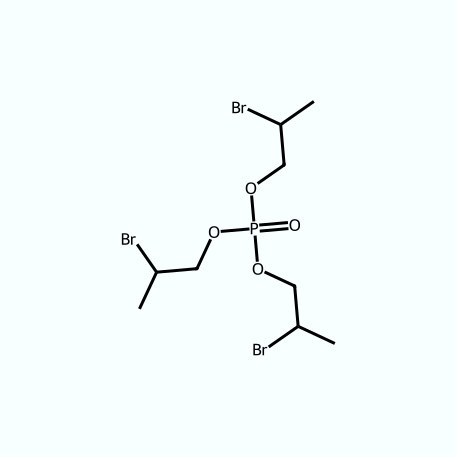 CC(Br)COP(=O)(OCC(C)Br)OCC(C)Br